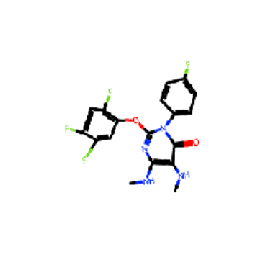 CNc1nc(Oc2cc(F)c(F)cc2F)n(-c2ccc(F)cc2)c(=O)c1NC